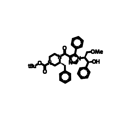 COC[C@@H]([C@@H](O)c1ccccc1)n1cnc(C(=O)N2CCN(C(=O)OC(C)(C)C)C[C@H]2Cc2ccccc2)c1-c1ccccc1